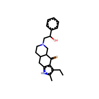 CCc1c(C)[nH]c2c1C(=S)C1CN(CC(O)c3ccccc3)CCC1C2